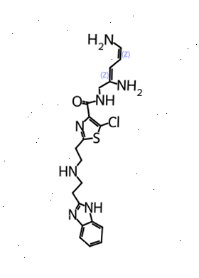 N/C=C\C=C(/N)CNC(=O)c1nc(CCNCCc2nc3ccccc3[nH]2)sc1Cl